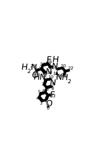 COc1cccc(-c2cncc(Nc3nc(N[C@@H](CN)CC(C)C)c(F)cc3C(N)=O)c2)c1F